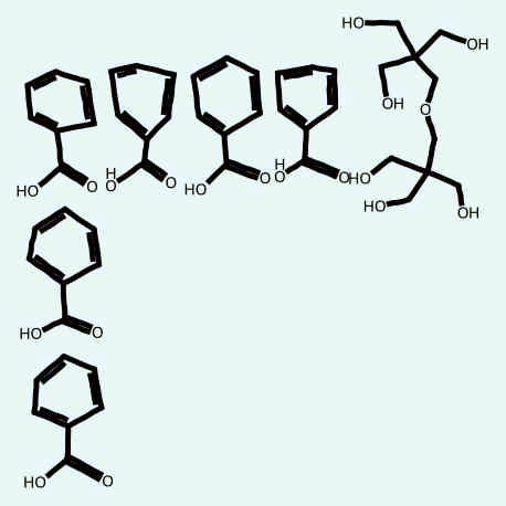 O=C(O)c1ccccc1.O=C(O)c1ccccc1.O=C(O)c1ccccc1.O=C(O)c1ccccc1.O=C(O)c1ccccc1.O=C(O)c1ccccc1.OCC(CO)(CO)COCC(CO)(CO)CO